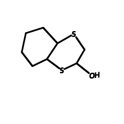 OC1CSC2CCCCC2S1